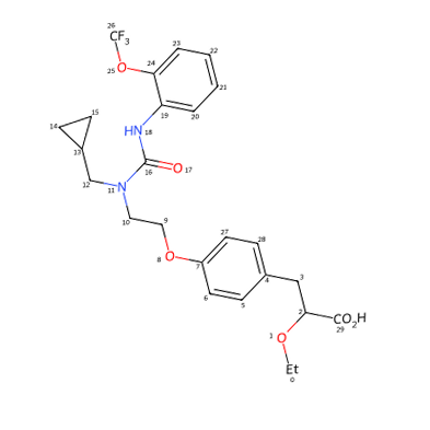 CCOC(Cc1ccc(OCCN(CC2CC2)C(=O)Nc2ccccc2OC(F)(F)F)cc1)C(=O)O